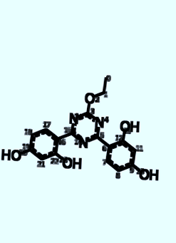 CCOc1nc(-c2ccc(O)cc2O)nc(-c2ccc(O)cc2O)n1